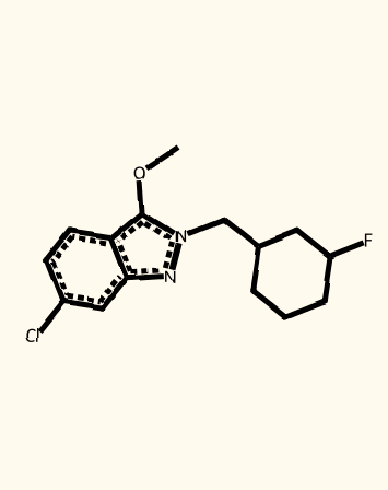 COc1c2ccc(Cl)cc2nn1CC1CCCC(F)C1